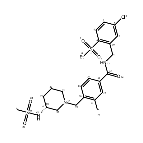 CCS(=O)(=O)c1ccc(Cl)cc1CNC(=O)c1ccc(CN2CCC[C@@H](NS(C)(=O)=O)C2)c(F)c1